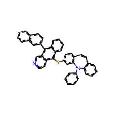 C1=Cc2ccc(Sc3c4ccccc4c(-c4ccc5ccccc5c4)c4cnccc34)cc2N(c2ccccc2)c2ccccc21